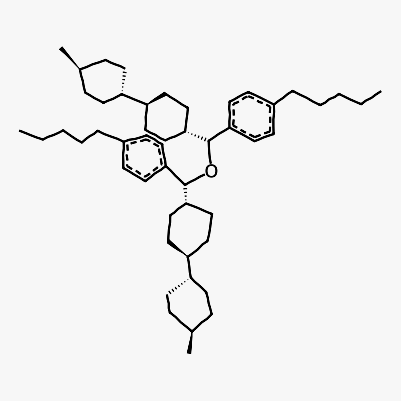 CCCCCc1ccc(C(OC(c2ccc(CCCCC)cc2)[C@H]2CC[C@H]([C@H]3CC[C@H](C)CC3)CC2)[C@H]2CC[C@H]([C@H]3CC[C@H](C)CC3)CC2)cc1